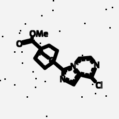 COC(=O)C12CCC(c3ncc4c(Cl)nccn34)(CC1)CC2